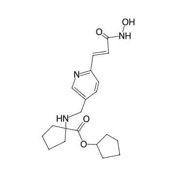 O=C(/C=C/c1ccc(CNC2(C(=O)OC3CCCC3)CCCC2)cn1)NO